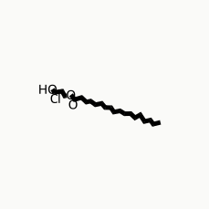 CCCCCCCCCCCCCCCCCC(=O)OCCC(O)Cl